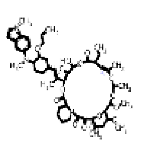 C=CCOC1CC(C=C(C)C2OC(=O)C3CCCCN3C(=O)C(=O)C3(O)OC(C(OC)CC(C)C/C(C)=C/C(CC)C(=O)CC(O)C2C)C(OC)CC3C)CCC1N(C)c1ccc2c(ccn2C)c1